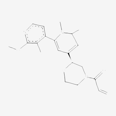 C=CC(=O)N1CCO[C@@H](C2=CC(Cl)N(C)C(c3ccnc(OC)c3F)=C2)[C@@H]1C